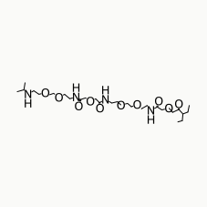 CCC(CC)C(=O)COCC(=O)NCCOCCOCCNC(=O)COCC(=O)NCCOCCOCCNC(C)C